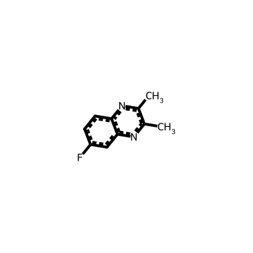 Cc1nc2ccc(F)cc2nc1C